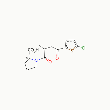 CC(CC(=O)c1ccc(Cl)s1)C(=O)N1CCC[C@@H]1C(=O)O